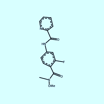 CON(C)C(=O)c1ccc(NC(=O)c2ccccn2)cc1F